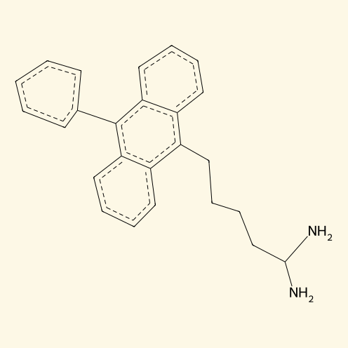 NC(N)CCCCc1c2ccccc2c(-c2ccccc2)c2ccccc12